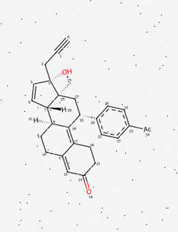 C#CC[C@]1(O)C=C[C@H]2[C@@H]3CCC4=CC(=O)CCC4=C3[C@@H](c3ccc(C(C)=O)cc3)C[C@@]21C